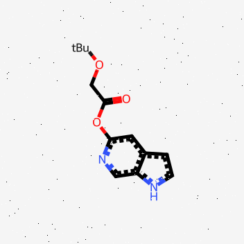 CC(C)(C)OCC(=O)Oc1cc2cc[nH]c2cn1